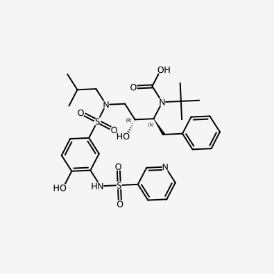 CC(C)CN(C[C@@H](O)[C@H](Cc1ccccc1)N(C(=O)O)C(C)(C)C)S(=O)(=O)c1ccc(O)c(NS(=O)(=O)c2cccnc2)c1